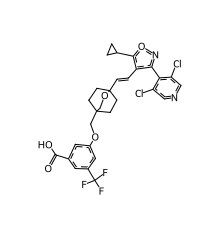 O=C(O)c1cc(OCC23CCC(C=Cc4c(-c5c(Cl)cncc5Cl)noc4C4CC4)(CC2)OC3)cc(C(F)(F)F)c1